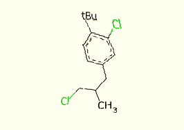 CC(CCl)Cc1ccc(C(C)(C)C)c(Cl)c1